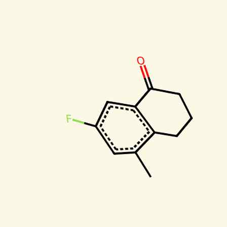 Cc1cc(F)cc2c1CCCC2=O